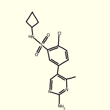 Cc1nc(N)ncc1-c1ccc(Cl)c(S(=O)(=O)NC2CCC2)c1